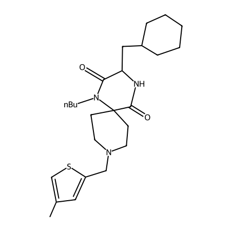 CCCCN1C(=O)C(CC2CCCCC2)NC(=O)C12CCN(Cc1cc(C)cs1)CC2